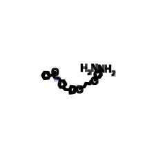 Nc1ccc(OCCCCCOc2ccc(Cc3ccc(/C=C/C(=O)c4ccccc4)cc3)cc2)cc1N